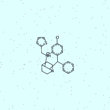 Clc1ccc(C(c2ccccc2)C2C(NCc3cccs3)C3CCN2CC3)c(Cl)c1